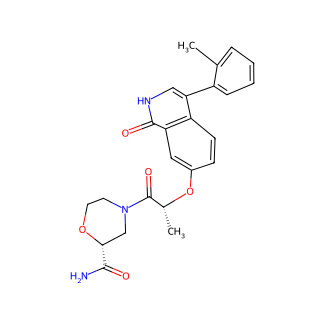 Cc1ccccc1-c1c[nH]c(=O)c2cc(O[C@H](C)C(=O)N3CCO[C@@H](C(N)=O)C3)ccc12